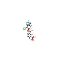 COC(=O)c1cccc(C(C)Oc2ccc(C(F)(F)F)cc2Cl)c1